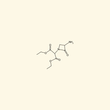 CCOC(=O)C(C(=O)OCC)N1CC(N)C1=O